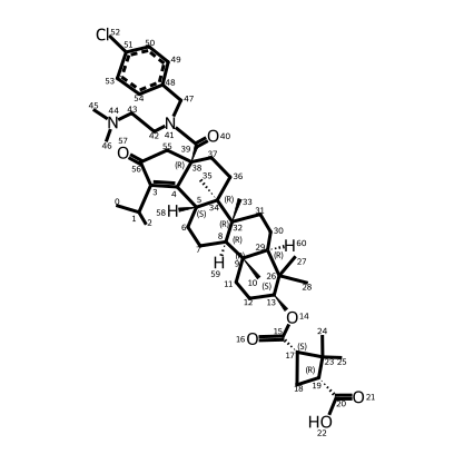 CC(C)C1=C2[C@H]3CC[C@@H]4[C@@]5(C)CC[C@H](OC(=O)[C@H]6C[C@@H](C(=O)O)C6(C)C)C(C)(C)[C@@H]5CC[C@@]4(C)[C@]3(C)CC[C@@]2(C(=O)N(CCN(C)C)Cc2ccc(Cl)cc2)CC1=O